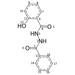 O=C(NNC(=O)c1ccccc1O)c1ccccc1